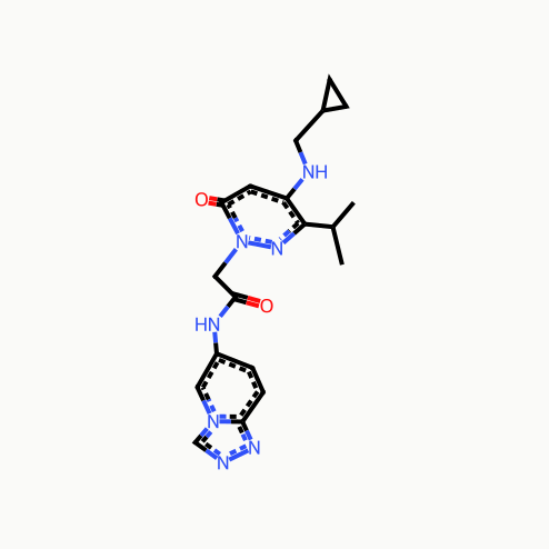 CC(C)c1nn(CC(=O)Nc2ccc3nncn3c2)c(=O)cc1NCC1CC1